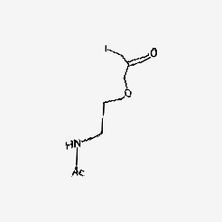 CC(=O)NCCOC(=O)I